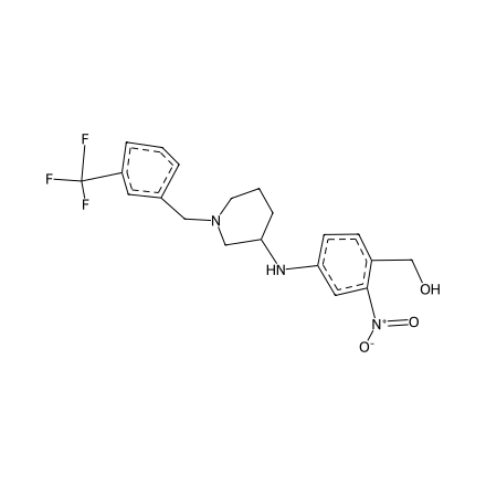 O=[N+]([O-])c1cc(NC2CCCN(Cc3cccc(C(F)(F)F)c3)C2)ccc1CO